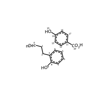 CCCCCCCCCCCCc1ccccc1O.O=C(O)c1ccc(O)cc1